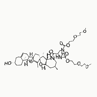 COCCOCCOC(=O)NCC(NC(=O)OCCOCCOC)C(=O)N1C[C@@H](C)C[C@H]2O[C@]3(CC[C@@H]4C(=C3C)C[C@H]3[C@H]4CC=C4C[C@@H](O)CC[C@@]43C)[C@H](C)[C@@H]21